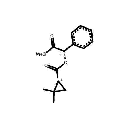 COC(=O)[C@@H](OC(=O)[C@H]1CC1(C)C)c1ccccc1